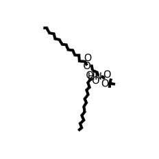 CCCCCCCCCCCCCC(=O)OCC(CNC(=O)OC(C)(C)C)OC(=O)CCCCCCCCCCCCC